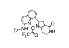 O=C1NCCc2c1cc(-c1cccc3ccc(NC4CC4)nc13)n2OC(=O)C(F)(F)F